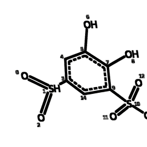 O=[SH](=O)c1cc(O)c(O)c(S(=O)(=O)O)c1